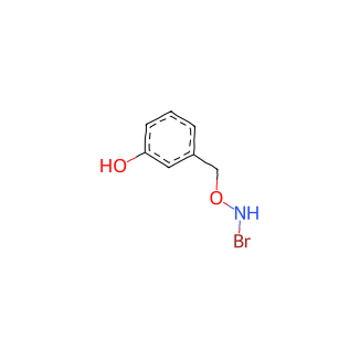 Oc1cccc(CONBr)c1